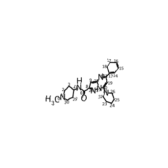 CN1CCC(NC(=O)c2cc3nc(C4=CC=CCC4)cc(N4CCCCC4)n3n2)CC1